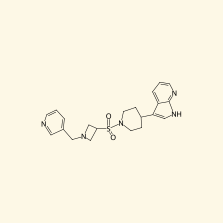 O=S(=O)(C1CN(Cc2cccnc2)C1)N1CCC(c2c[nH]c3ncccc23)CC1